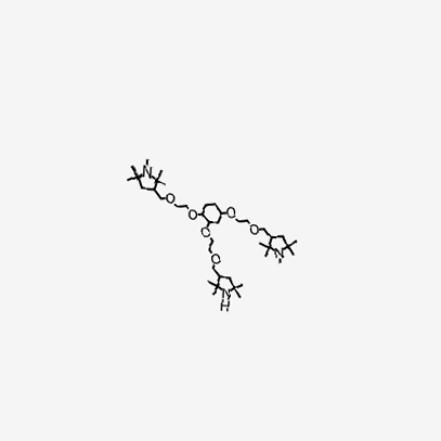 CN1C(C)(C)CC(COCCOC2CCC(OCCOCC3CC(C)(C)N(C)C3(C)C)C(OCCOCC3CC(C)(C)NC3(C)C)C2)C1(C)C